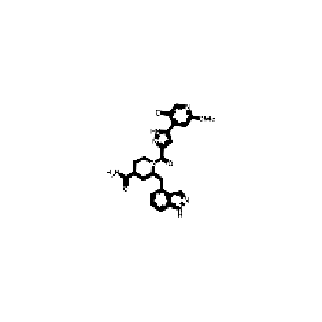 COc1cc(-c2cc(C(=O)N3CCC(C(N)=O)CC3Cc3cccc4[nH]ncc34)n[nH]2)c(Cl)cn1